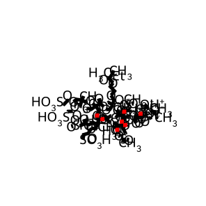 CCC(C)(C)C(=O)OCCOC(=O)C(C)(COC(=O)C(C)(COC(=O)C(C)(COC(=O)C[SH](=O)=O)COC(=O)CS(=O)(=O)O)COC(=O)C(C)(COC(=O)CS(=O)(=O)O)COC(=O)CS(=O)(=O)O)COC(=O)C(C)(COC(=O)C(C)(COC(=O)CS(C)(=O)=O)COC(=O)CS(=O)(=O)C[NH+](C)[O-])COC(=O)C(C)(COC(=O)CS(C)(=O)=O)COC(=O)CS(=O)(=O)C[NH+](C)[O-]